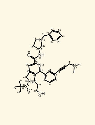 CN(C)CC#Cc1cccc(-c2nc(C(=O)N[C@H]3CCN(Cc4ccccc4)C3)cc3c2[C@@H](CCO)N([S+]([O-])C(C)(C)C)C3)c1